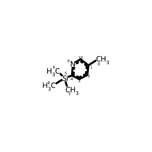 Cc1ccc([Si](C)(C)C)nc1